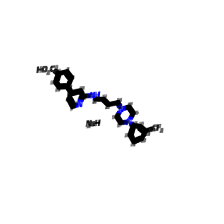 O=C(O)c1ccc(-c2ccnc(NCCCCN3CCN(c4cccc(C(F)(F)F)c4)CC3)c2)cc1.[NaH]